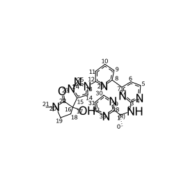 C[C@@H](Nc1nccc(-c2cccc(-n3cc(C4(O)CCN(C)C4=O)nn3)n2)n1)c1ncccn1